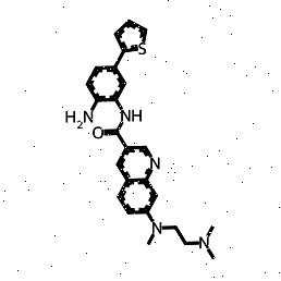 CN(C)CCN(C)c1ccc2cc(C(=O)Nc3cc(-c4cccs4)ccc3N)cnc2c1